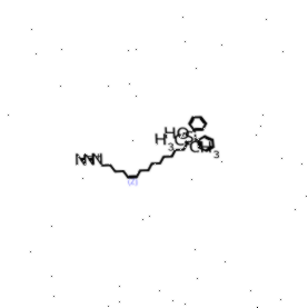 CC(C)(CCCCCCCC/C=C\CCCCN=[N+]=[N-])[Si](O)(c1ccccc1)c1ccccc1